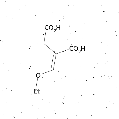 CCOC=C(CC(=O)O)C(=O)O